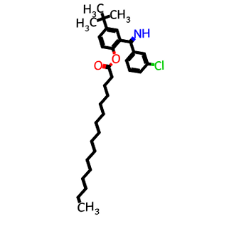 CCCCCCCCCCCCCCCC(=O)Oc1ccc(C(C)(C)C)cc1C(=N)c1cccc(Cl)c1